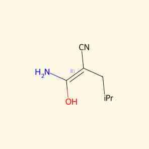 CC(C)C/C(C#N)=C(/N)O